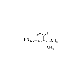 CC(C)c1cc(C=N)ccc1F